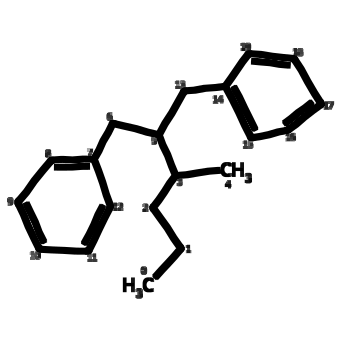 CCCC(C)C(Cc1ccccc1)Cc1ccccc1